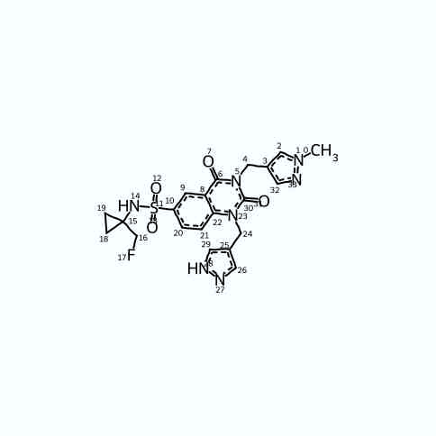 Cn1cc(Cn2c(=O)c3cc(S(=O)(=O)NC4(CF)CC4)ccc3n(Cc3cn[nH]c3)c2=O)cn1